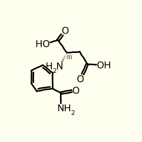 NC(=O)c1ccccc1.N[C@@H](CC(=O)O)C(=O)O